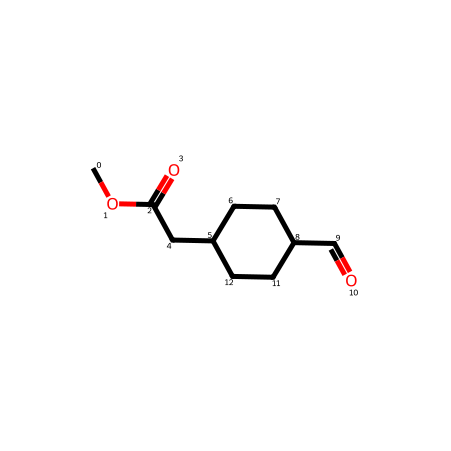 COC(=O)CC1CCC(C=O)CC1